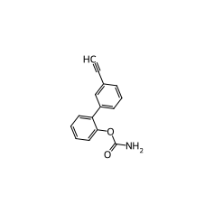 C#Cc1cccc(-c2ccccc2OC(N)=O)c1